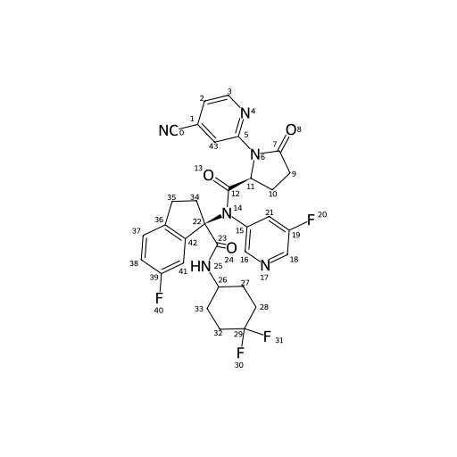 N#Cc1ccnc(N2C(=O)CC[C@H]2C(=O)N(c2cncc(F)c2)[C@]2(C(=O)NC3CCC(F)(F)CC3)CCc3ccc(F)cc32)c1